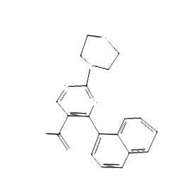 O=C(O)c1cnc(N2CCNCC2)nc1-c1cccc2ccccc12